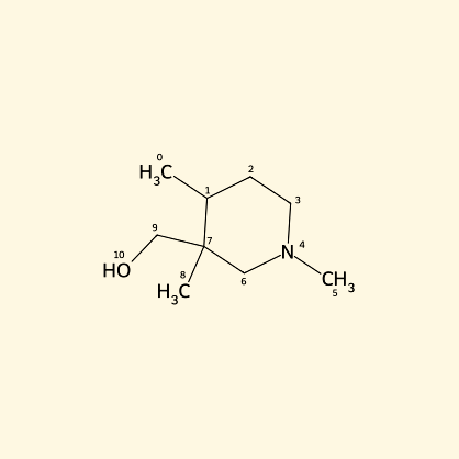 CC1CCN(C)CC1(C)CO